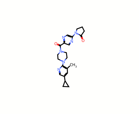 Cc1cc(C2CC2)cnc1N1CCN(C(=O)c2cnc(N3CCCC3=O)cn2)CC1